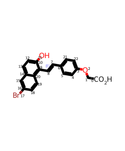 O=C(O)COc1ccc(/C=C/c2c(O)ccc3cc(Br)ccc23)cc1